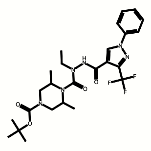 CCN(NC(=O)c1cn(-c2ccccc2)nc1C(F)(F)F)C(=O)N1C(C)CN(C(=O)OC(C)(C)C)CC1C